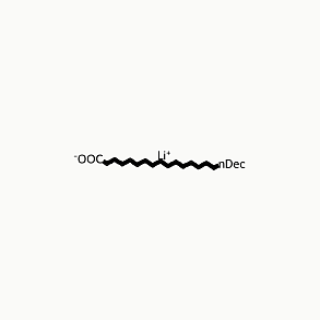 CCCCCCCCCCCCCCCCCCCCCCCCCC(=O)[O-].[Li+]